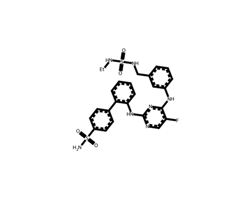 CCNS(=O)(=O)NCc1cccc(Nc2nc(Nc3ccccc3-c3ccc(S(N)(=O)=O)cc3)ncc2F)c1